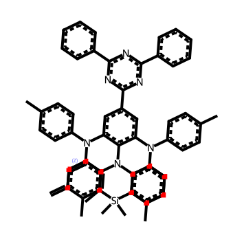 C=C/C=C\C1=C(C)[Si](C)(C)c2ccccc2N1c1c(N(c2ccc(C)cc2)c2ccc(C)cc2)cc(-c2nc(-c3ccccc3)nc(-c3ccccc3)n2)cc1N(c1ccc(C)cc1)c1ccc(C)cc1